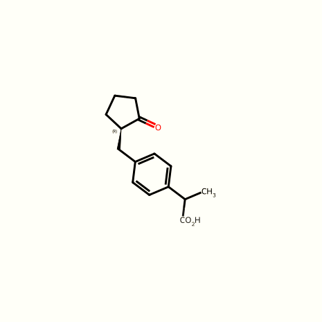 CC(C(=O)O)c1ccc(C[C@H]2CCCC2=O)cc1